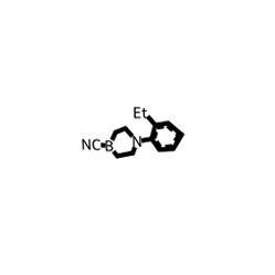 CCc1ccccc1N1CCB(C#N)CC1